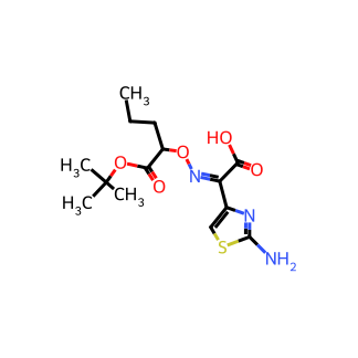 CCCC(ON=C(C(=O)O)c1csc(N)n1)C(=O)OC(C)(C)C